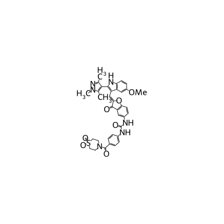 COc1ccc2[nH]c(-c3c(C)nn(C)c3C)c(/C=C3\Oc4ccc(NC(=O)Nc5ccc(C(=O)N6CCS(=O)(=O)CC6)cc5)cc4C3=O)c2c1